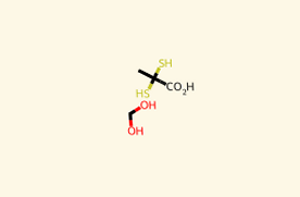 CC(S)(S)C(=O)O.OCO